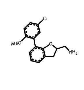 COc1ccc(Cl)cc1-c1cccc2c1OC(CN)C2